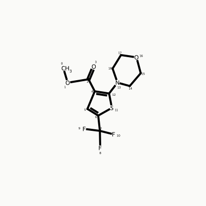 COC(=O)c1cc(C(F)(F)F)sc1N1CCOCC1